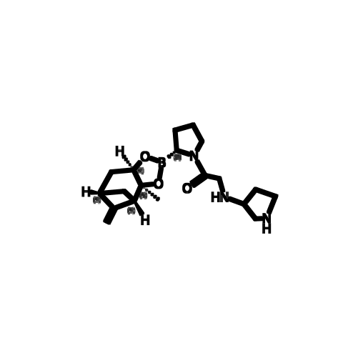 C=C1[C@@H]2C[C@H]3OB([C@@H]4CCCN4C(=O)CNC4CCNC4)O[C@@]3(C)[C@H]1C2